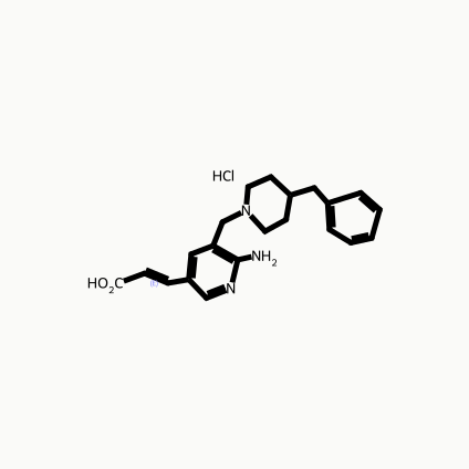 Cl.Nc1ncc(/C=C/C(=O)O)cc1CN1CCC(Cc2ccccc2)CC1